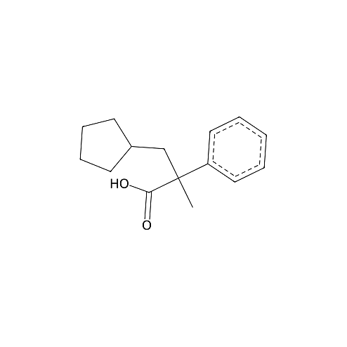 CC(CC1CCCC1)(C(=O)O)c1ccccc1